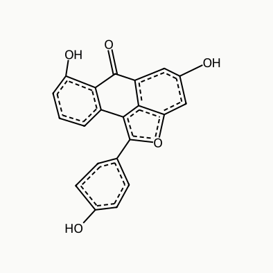 O=C1c2c(O)cccc2-c2c(-c3ccc(O)cc3)oc3cc(O)cc1c23